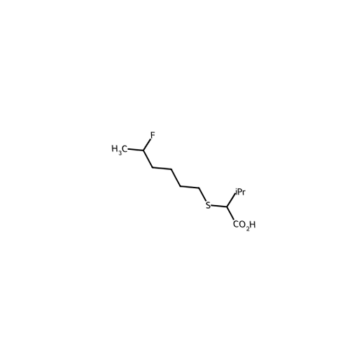 CC(F)CCCCSC(C(=O)O)C(C)C